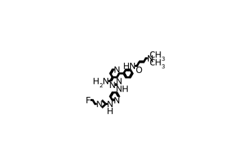 CN(C)C/C=C/C(=O)Nc1cccc(-c2nccc3c(N)nc(Nc4ccc(NC5CN(CCF)C5)nc4)nc23)c1